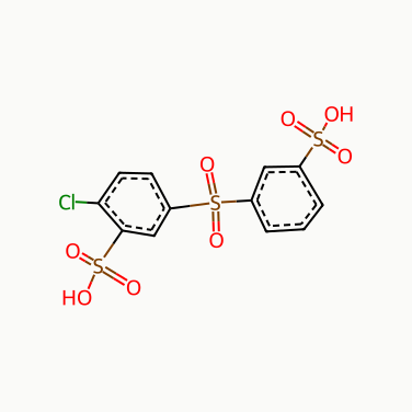 O=S(=O)(O)c1cccc(S(=O)(=O)c2ccc(Cl)c(S(=O)(=O)O)c2)c1